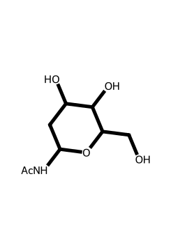 CC(=O)NC1CC(O)C(O)C(CO)O1